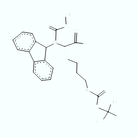 COC(=O)N(C1c2ccccc2-c2ccccc21)[C@@H](CCCCNC(=O)OC(C)(C)C)C(=O)O